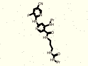 CC(C)NC(=O)NCCCNC(=O)c1cnc(Nc2ncc(C#N)cc2F)cc1NC(C)C